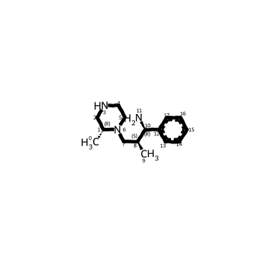 C[C@@H]1CNCCN1C[C@H](C)[C@@H](N)c1ccccc1